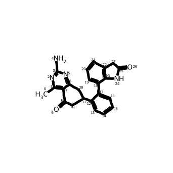 Cc1nc(N)nc2c1C(=O)CC(c1ccccc1-c1cccc3c1NC(=O)C3)C2